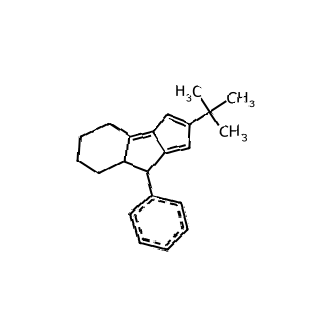 CC(C)(C)C1=CC2=C3CCCCC3C(c3ccccc3)C2=C1